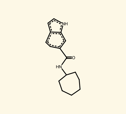 O=C(NC1CCCCCC1)c1ccc2cc[nH]c2c1